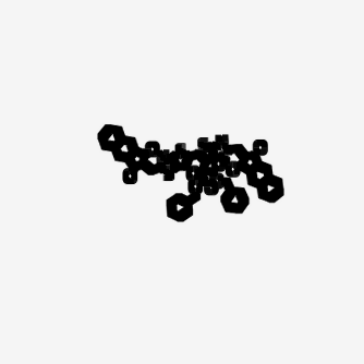 O=C1C(=Cc2nc3sc4c(c3s2)OC(C(=O)OCc2ccccc2)(C(=O)OCc2ccccc2)c2c-4sc3nc(C=C4C(=O)c5cc6ccccc6cc5C4=O)sc23)C(=O)c2cc3ccccc3cc21